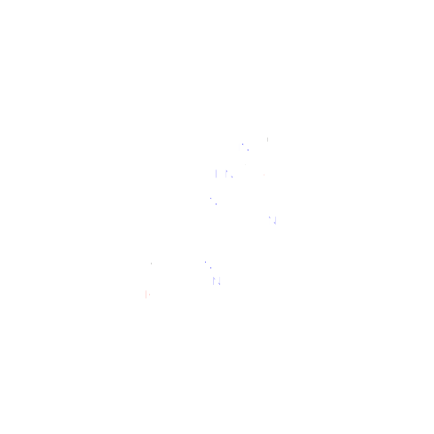 CCNC(=O)Nc1nc2cc(N3C=C(C(C)O)CC=N3)cc(-c3ccccn3)c2s1